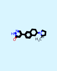 C[C@@H]1CCCN1C1CCc2cc(-c3cn[nH]c(=O)c3)ccc2C1